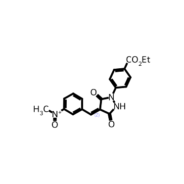 CCOC(=O)c1ccc(N2NC(=O)/C(=C/c3cccc([N+](C)=O)c3)C2=O)cc1